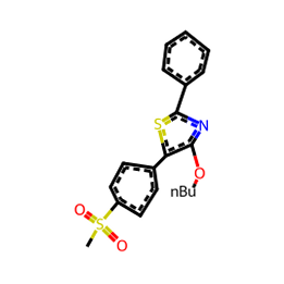 CCCCOc1nc(-c2ccccc2)sc1-c1ccc(S(C)(=O)=O)cc1